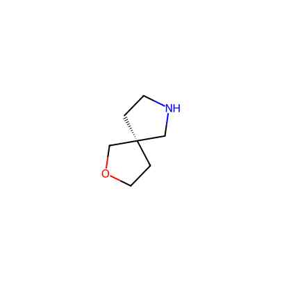 C1C[C@@]2(CCOC2)CN1